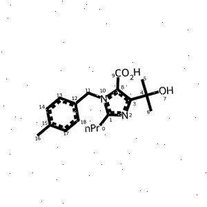 CCCc1nc(C(C)(C)O)c(C(=O)O)n1Cc1ccc(C)cc1